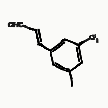 Cc1cc(/C=C/C=O)cc(C(F)(F)F)c1